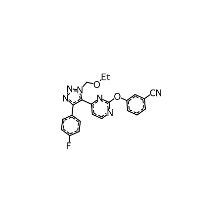 CCOCn1nnc(-c2ccc(F)cc2)c1-c1ccnc(Oc2cccc(C#N)c2)n1